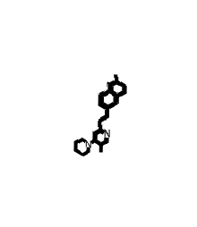 Cc1ccc2cc(C=Cc3cc(N4CCCCC4)c(C)cn3)ccc2c1